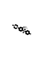 CN1CCN(c2ccc(S(=O)(=O)c3ccc(F)cc3)c(N)c2)CC1